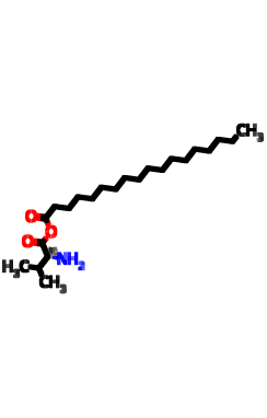 CCCCCCCCCCCCCCCCCC(=O)OC(=O)[C@H](N)C(C)C